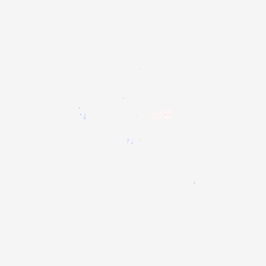 C=C1CC(N)C(C(=O)Nc2ccc(Cl)cc2)C1